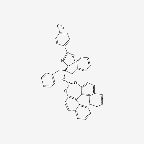 Cc1ccc(C2=N[C@H](C(Cc3ccccc3)(Cc3ccccc3)Op3oc4ccc5c(c4c4c(ccc6ccccc64)o3)CCC=C5)CO2)cc1